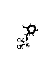 Cc1ccccc1CC[Si](Cl)(Cl)Cl